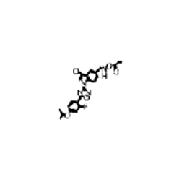 CCC(=O)ONCc1ccc2c(c1)c(Cl)cn2-c1noc(-c2ccc(OC(C)C)cc2F)n1